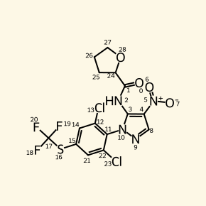 O=C(Nc1c([N+](=O)[O-])cnn1-c1c(Cl)cc(SC(F)(F)F)cc1Cl)C1CCCO1